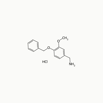 COc1cc(CN)ccc1OCc1ccccc1.Cl